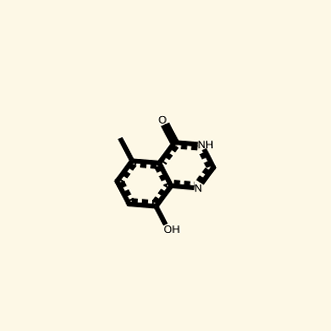 Cc1ccc(O)c2nc[nH]c(=O)c12